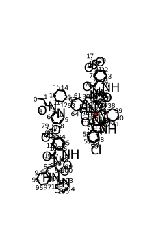 CCC(=O)N(c1ccccn1)C1CCCCC1.CS(=O)(=O)c1ccc2[nH]c(=O)n(C(CC3(N(C(=O)C(CC4CCCCC4)n4c(=O)[nH]c5cc(Cl)ccc5c4=O)c4nccs4)CCCCC3)C(=O)Nc3ccccn3)c(=O)c2c1.CS(=O)(=O)c1ccc2[nH]c(=O)n(C(CC3CCCCC3)C(=O)Nc3nccs3)c(=O)c2c1